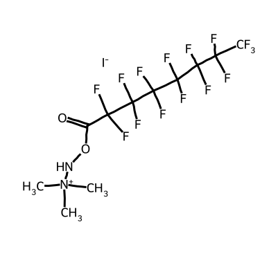 C[N+](C)(C)NOC(=O)C(F)(F)C(F)(F)C(F)(F)C(F)(F)C(F)(F)C(F)(F)C(F)(F)F.[I-]